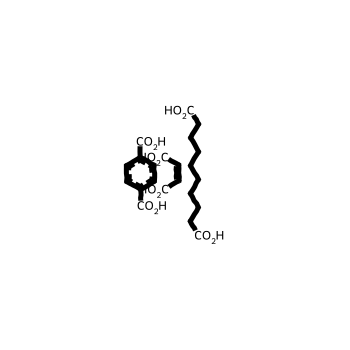 O=C(O)/C=C\C(=O)O.O=C(O)CCCCCCCCC(=O)O.O=C(O)c1ccc(C(=O)O)cc1